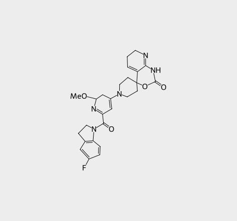 COC1CC(N2CCC3(CC2)OC(=O)NC2=NCCC=C23)=CC(C(=O)N2CCc3cc(F)ccc32)=N1